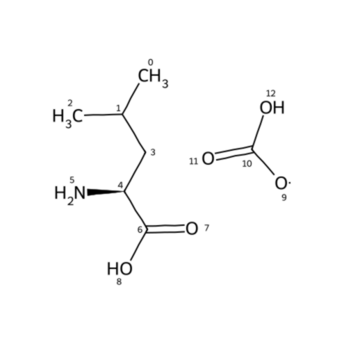 CC(C)C[C@H](N)C(=O)O.[O]C(=O)O